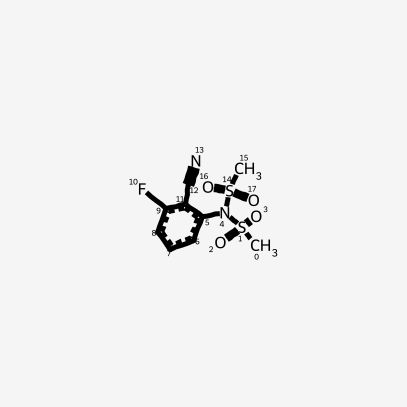 CS(=O)(=O)N(c1cccc(F)c1C#N)S(C)(=O)=O